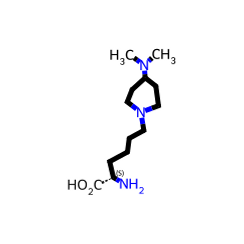 CN(C)C1CCN(CCCC[C@H](N)C(=O)O)CC1